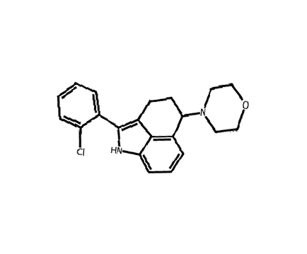 Clc1ccccc1-c1[nH]c2cccc3c2c1CCC3N1CCOCC1